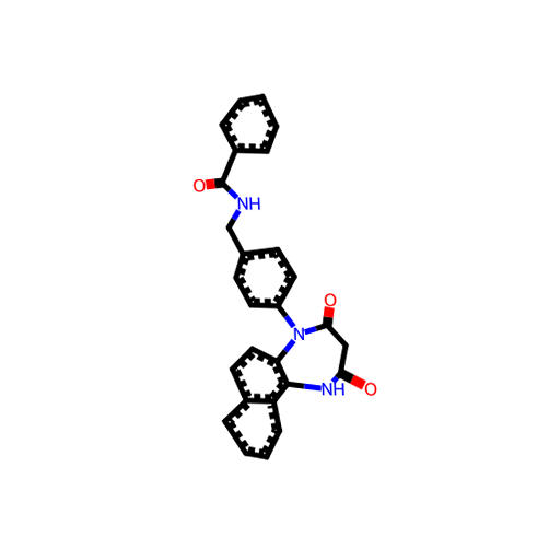 O=C1CC(=O)N(c2ccc(CNC(=O)c3ccccc3)cc2)c2ccc3ccccc3c2N1